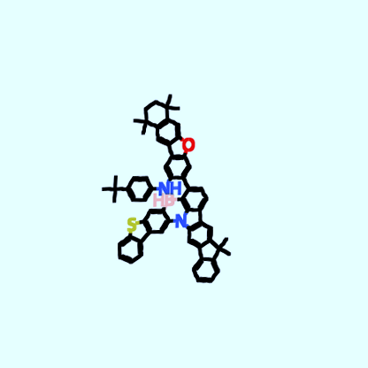 CC(C)(C)c1ccc(Nc2cc3c(cc2-c2ccc4c5cc6c(cc5n5c4c2Bc2cc4sc7ccccc7c4cc2-5)-c2ccccc2C6(C)C)oc2cc4c(cc23)C(C)(C)CCC4(C)C)cc1